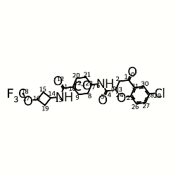 O=C1C[C@H](C(=O)NC23CCC(C(=O)NC4CC(OC(F)(F)F)C4)(CC2)CC3)Oc2ccc(Cl)cc21